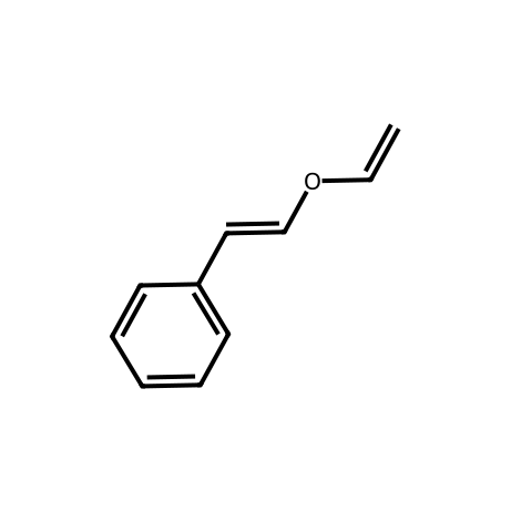 C=CO/C=C/c1ccccc1